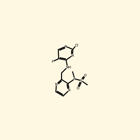 CN(c1nccnc1CNc1nc(Cl)ncc1F)S(C)(=O)=O